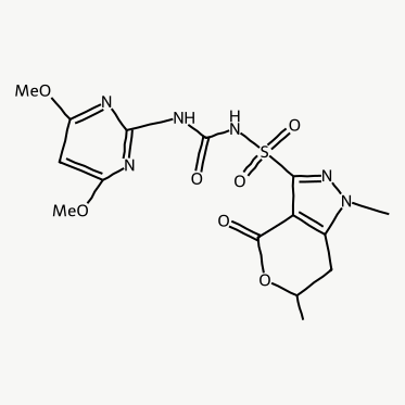 COc1cc(OC)nc(NC(=O)NS(=O)(=O)c2nn(C)c3c2C(=O)OC(C)C3)n1